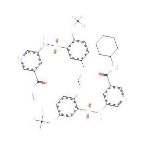 COC(=O)c1cncc(NS(=O)(=O)c2cc(OCOc3ccc(OC(F)(F)F)cc3S(=O)(=O)Nc3cncc(C(=O)NC4CCCCC4)c3)ccc2OC(F)(F)F)c1